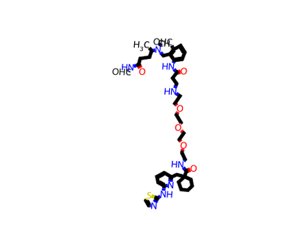 CC(CCC(=O)NC=O)N(C)Cc1c(C=O)cccc1NC(=O)CCNCCOCCOCCOCCNC(=O)C1(Cc2cccc(Nc3nccs3)n2)CCCCC1